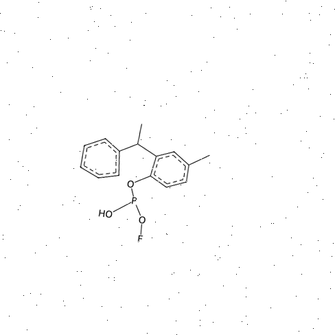 Cc1ccc(OP(O)OF)c(C(C)c2ccccc2)c1